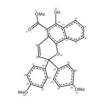 COC(=O)c1c2c(c3ccccc3c1O)OC(c1ccc(OC)cc1)(c1ccc(OC)cc1)C=C2